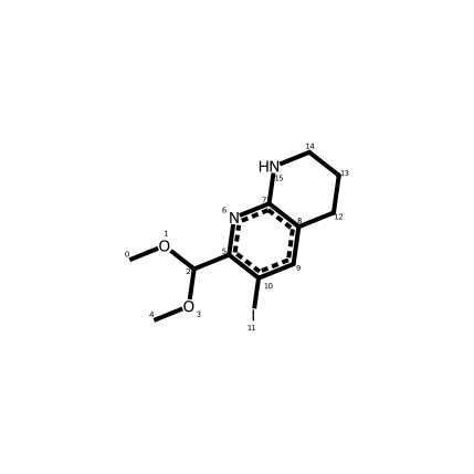 COC(OC)c1nc2c(cc1I)CCCN2